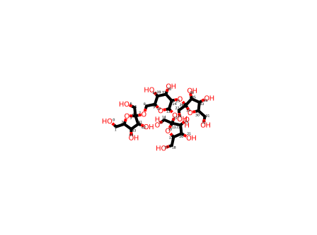 OCC1OC(CO)(OCC2OC(OC3(CO)OC(CO)C(O)C3O)C(OC3(CO)OC(CO)C(O)C3O)C(O)C2O)C(O)C1O